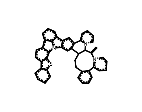 C=C1C2C(CCc3ccccc3-c3cccc[n+]31)c1cc3c(cc1-c1cccc[n+]12)c1cccc2c4ccc5c6ccccc6sc5c4n3c12